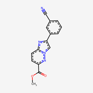 COC(=O)c1ccc2nc(-c3cccc(C#N)c3)cn2n1